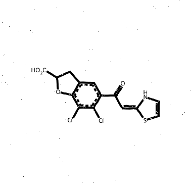 O=C(C=C1NC=CS1)c1cc2c(c(Cl)c1Cl)OC(C(=O)O)C2